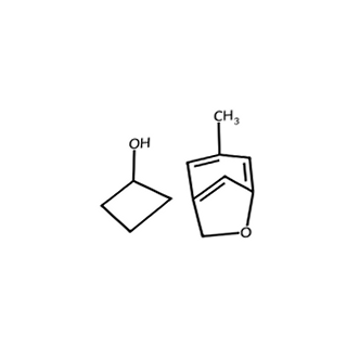 Cc1cc2cc(c1)OC2.OC1CCC1